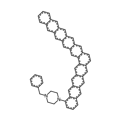 c1ccc(CN2CCN(c3cccc4cc5cc6cc7ccc8cc9cc%10cc%11cc%12ccccc%12cc%11cc%10cc9cc8c7cc6cc5cc34)CC2)cc1